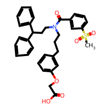 CS(=O)(=O)c1cccc(C(=O)N(CCCc2cccc(OCC(=O)O)c2)CCC(c2ccccc2)c2ccccc2)c1